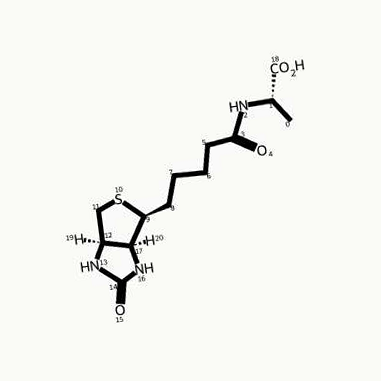 C[C@H](NC(=O)CCCC[C@@H]1SC[C@@H]2NC(=O)N[C@@H]21)C(=O)O